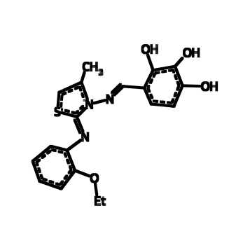 CCOc1ccccc1/N=c1\scc(C)n1/N=C/c1ccc(O)c(O)c1O